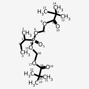 CCC(C)P(=O)(OCOC(=O)C(C)(C)C)OCOC(=O)C(C)(C)C